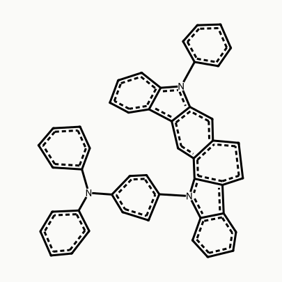 c1ccc(N(c2ccccc2)c2ccc(-n3c4ccccc4c4ccc5cc6c(cc5c43)c3ccccc3n6-c3ccccc3)cc2)cc1